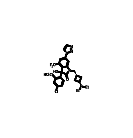 CCN(CC)[C@H]1C[C@H](CN2C(=O)C(O)(c3ccc(Cl)cc3Cl)c3c2cc(-n2ccnn2)cc3C(F)(F)F)C1.Cl